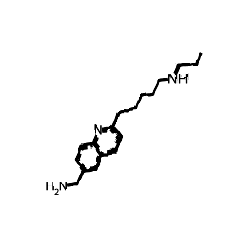 CCCNCCCCCc1ccc2cc(CN)ccc2n1